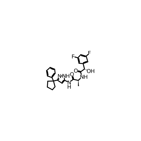 C[C@H](NC(=O)[C@@H](O)c1cc(F)cc(F)c1)C(=O)Nc1cc(C2(c3ccccc3)CCCC2)n[nH]1